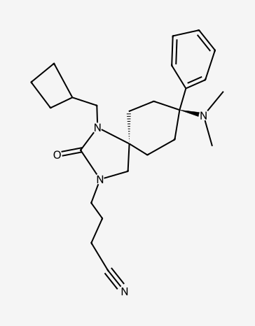 CN(C)[C@]1(c2ccccc2)CC[C@]2(CC1)CN(CCCC#N)C(=O)N2CC1CCC1